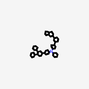 c1ccc(-c2ccc(-c3ccc(N(c4ccccc4)c4ccc(-c5cccc(-c6ccc7ccccc7c6)c5)cc4)cc3)cc2-c2ccccc2)cc1